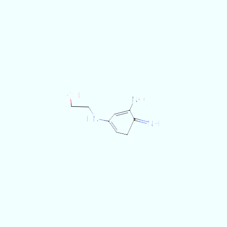 N=C1CC=C(NCCO)C=C1[N+](=O)[O-]